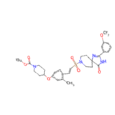 Cc1cc(OC2CCN(C(=O)OC(C)(C)C)CC2)ccc1C=CS(=O)(=O)N1CCC2(CC1)N=C(c1cccc(OC(F)(F)F)c1)NC2=O